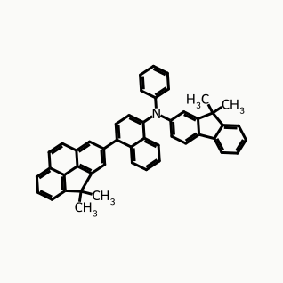 CC1(C)c2ccccc2-c2ccc(N(c3ccccc3)c3ccc(-c4cc5c6c(ccc7cccc(c76)C5(C)C)c4)c4ccccc34)cc21